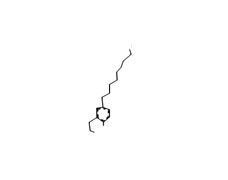 CCCCCCCCCc1ccc2c(c1)CCOO2